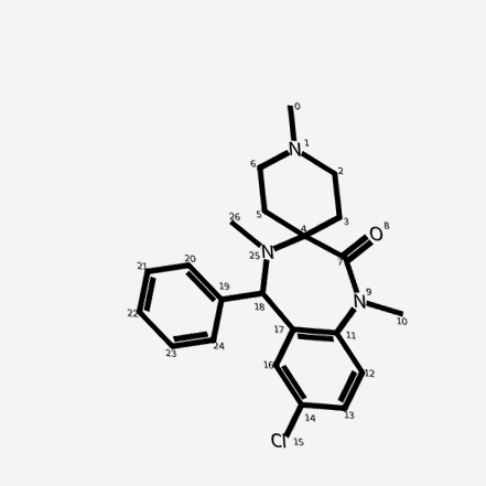 CN1CCC2(CC1)C(=O)N(C)c1ccc(Cl)cc1C(c1ccccc1)N2C